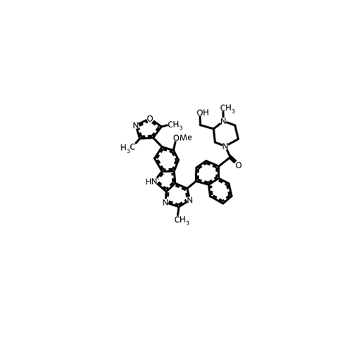 COc1cc2c(cc1-c1c(C)noc1C)[nH]c1nc(C)nc(-c3ccc(C(=O)N4CCN(C)C(CO)C4)c4ccccc34)c12